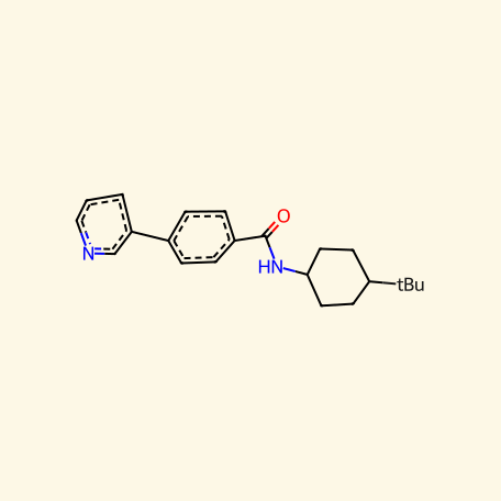 CC(C)(C)C1CCC(NC(=O)c2ccc(-c3cccnc3)cc2)CC1